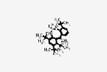 C/C1=C2/C(=C(C(C)(C)C)C=C(C(C)(C)C)C2C(C)(C)C)OP(F)Oc2c1cccc2C(C)(C)C